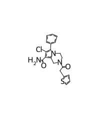 NC(=O)c1c(Cl)c(-c2ccccc2)n2c1CN(C(=O)Cc1cccs1)CC2